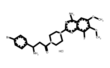 COc1cc2c(N)nc(N3CCN(C(=O)CC(N)c4ccc(Br)cc4)CC3)nc2c(F)c1OC.Cl